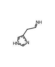 N=CCc1c[nH]cn1